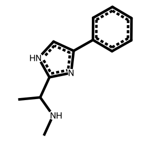 CNC(C)c1nc(-c2ccccc2)c[nH]1